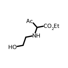 CCOC(=O)C(NCCO)C(C)=O